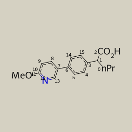 CCCC(C(=O)O)c1ccc(-c2ccc(OC)nc2)cc1